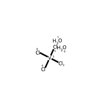 O.O.[Cl][V]([Cl])([Cl])[Cl]